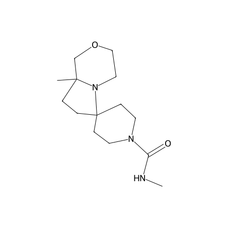 CNC(=O)N1CCC2(CC1)CCC1(C)COCCN12